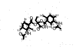 CCC(OC(=O)c1c(I)cc(I)c(NC(C)=O)c1I)(OC(=O)c1c(I)cc(I)c(NC(C)=O)c1I)C(=O)O